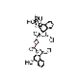 O=C(N1C[C@@H](CCl)c2c1cc(O)c1ccccc21)C12CC(C(=O)N3C[C@@H](CCl)c4c3cc(O[PH](O)(O)O)c3ccccc43)(C1)C2